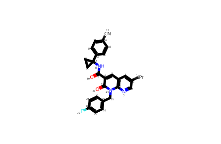 CC(C)c1cnc2c(c1)cc(C(=O)NC1(c3ccc(C#N)cc3)CC1)c(=O)n2Cc1ccc(F)cc1